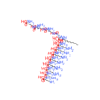 CCCCCCCCCCCC(=O)N[C@@H](CCC(=O)O)C(=O)O.NCCCC[C@H](N)C(=O)O.NCCCC[C@H](N)C(=O)O.NCCCC[C@H](N)C(=O)O.NCCCC[C@H](N)C(=O)O.NCCCC[C@H](N)C(=O)O.NCCCC[C@H](N)C(=O)O.NCCCC[C@H](N)C(=O)O.NCCCC[C@H](N)C(=O)O.NCCCC[C@H](N)C(=O)O.NCCCC[C@H](N)C(=O)O.NCCCC[C@H](N)C(=O)O